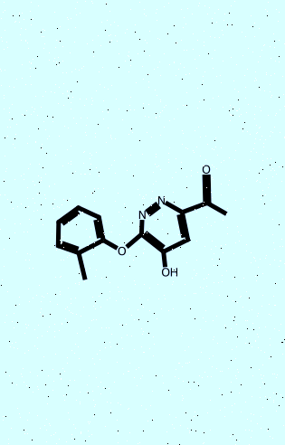 CC(=O)c1cc(O)c(Oc2ccccc2C)nn1